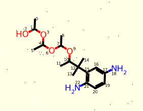 CC(O)OC(C)OC(C)OC(C)C(C)(C)c1cc(N)ccc1N